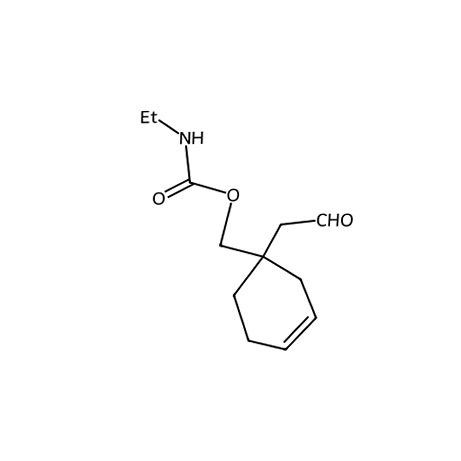 CCNC(=O)OCC1(CC=O)CC=CCC1